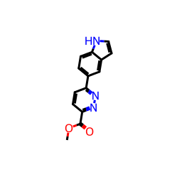 COC(=O)c1ccc(-c2ccc3[nH]ccc3c2)nn1